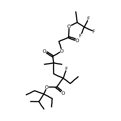 CCC(F)(CC(C)(C)C(=O)OCC(=O)OC(C)C(F)(F)F)C(=O)OC(CC)(CC)C(C)C